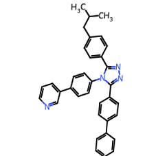 CC(C)Cc1ccc(-c2nnc(-c3ccc(-c4ccccc4)cc3)n2-c2ccc(-c3cccnc3)cc2)cc1